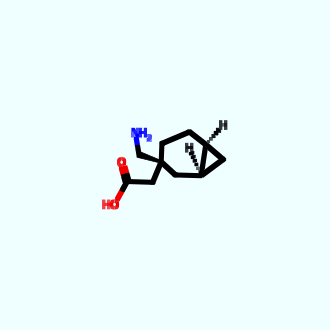 NC[C@@]1(CC(=O)O)CC[C@H]2C[C@H]2C1